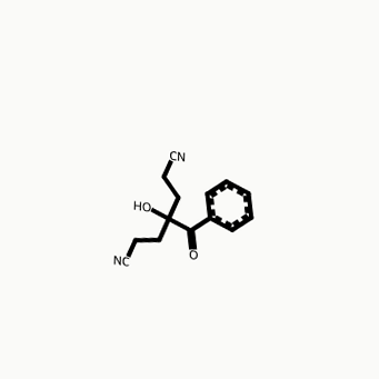 N#CCCC(O)(CCC#N)C(=O)c1ccccc1